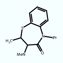 CNC1C(=O)N(C(C)C)c2ccccc2SC1C